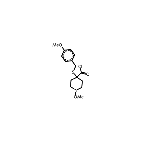 COc1ccc(CSC2(C(=O)Cl)CCN(OC)CC2)cc1